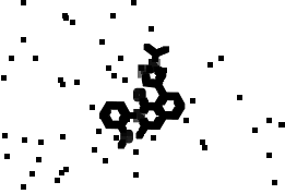 COc1ccccc1-n1c(C)cc2cccc(-c3cnn(C(C)C)c3)c2c1=O